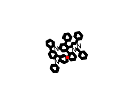 c1ccc(-c2cc(-c3c(-c4ccccc4)cc(-n4c5ccccc5c5ccc6c(c7ccccc7n6-c6ccccc6)c54)cc3-c3ccccc3)nc(-c3ccccc3)n2)cc1